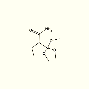 CCC(C(N)=O)[Si](OC)(OC)OC